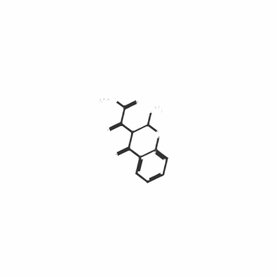 COC(=O)C(=O)C1C(=O)c2ccccc2SC1C